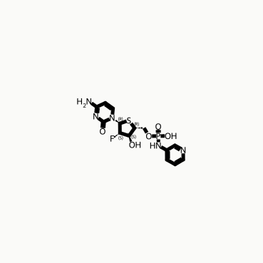 Nc1ccn([C@@H]2S[C@H](COP(=O)(O)Nc3cccnc3)[C@@H](O)[C@@H]2F)c(=O)n1